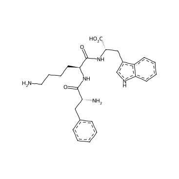 NCCCC[C@H](NC(=O)[C@H](N)Cc1ccccc1)C(=O)N[C@@H](Cc1c[nH]c2ccccc12)C(=O)O